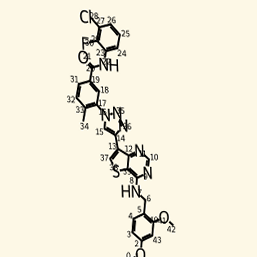 COc1ccc(CNc2ncnc3c(-c4cn(-c5cc(C(=O)Nc6cccc(Cl)c6F)ccc5C)nn4)csc23)c(OC)c1